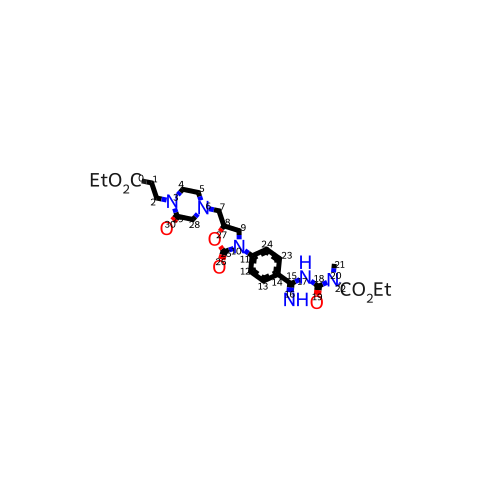 CCOC(=O)CCN1CCN(CC2CN(c3ccc(C(=N)NC(=O)N(C)C(=O)OCC)cc3)C(=O)O2)CC1=O